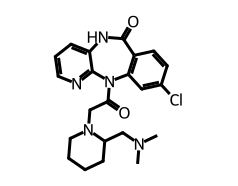 CN(C)CC1CCCCN1CC(=O)N1c2cc(Cl)ccc2C(=O)Nc2cccnc21